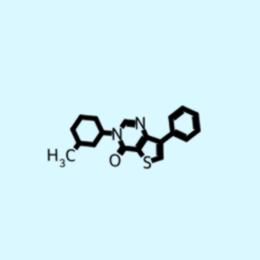 CC1CCCC(n2cnc3c(-c4ccccc4)csc3c2=O)C1